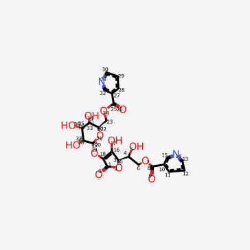 O=C1O[C@H](C(O)COC(=O)c2cccnc2)C(O)=C1O[C@H]1O[C@H](COC(=O)c2cccnc2)[C@@H](O)[C@H](O)[C@H]1O